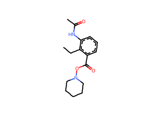 CCc1c(NC(C)=O)cccc1C(=O)ON1CCCCC1